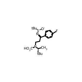 C[C@H](N(CC/C(=N/[S+]([O-])C(C)(C)C)c1ccc(F)cc1)C(=O)O)C(C)(C)C